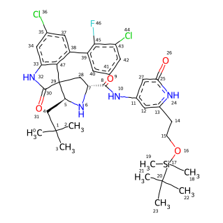 CC(C)(C)C[C@@H]1N[C@@H](C(=O)Nc2cc(CCO[Si](C)(C)C(C)(C)C)[nH]c(=O)c2)CC12C(=O)Nc1cc(Cl)cc(-c3cccc(Cl)c3F)c12